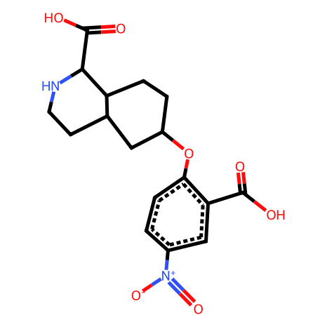 O=C(O)c1cc([N+](=O)[O-])ccc1OC1CCC2C(CCNC2C(=O)O)C1